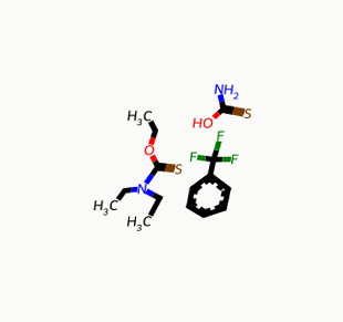 CCOC(=S)N(CC)CC.FC(F)(F)c1ccccc1.NC(O)=S